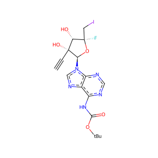 C#C[C@]1(O)[C@H](n2cnc3c(NC(=O)OC(C)(C)C)ncnc32)O[C@](F)(CI)[C@H]1O